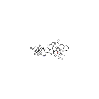 CC(C)(C)OC(=O)Oc1c(/C=C\B2O[C@@H]3C[C@@H]4C[C@@H](C4(C)C)[C@]3(C)O2)ccc(OC2CN(C(=O)OCc3ccccc3)C2)c1C(=O)OC(C)(C)C